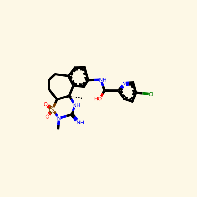 CN1C(=N)N[C@]2(C)c3cc(NC(O)c4ccc(Cl)cn4)ccc3CCCC2S1(=O)=O